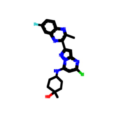 Cc1nc2ccc(F)cc2nc1-c1cc2nc(Cl)cc(NC3CCC(C)(O)CC3)n2n1